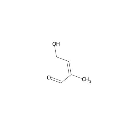 CC(C=O)=CCO